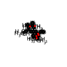 C=C1/C(=C\C(=C/C)c2c3cc(N(c4ccc(C(C)(C)C)cc4)C4C=Cc5ccccc5C4)ccc3c(-c3ccc(C)c(C(C)(I)c4ccccc4)c3)c3cc(N(c4ccc(C(C)(C)C)cc4)c4ccc5ccccc5c4)ccc23)C(C)(C)c2ccccc21